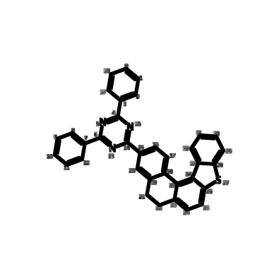 c1ccc(-c2nc(-c3ccccc3)nc(-c3ccc4c(c3)CCc3ccc5sc6ccccc6c5c3-4)n2)cc1